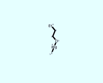 CCCC[O][Mg][I]